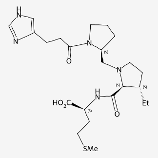 CC[C@H]1CCN(C[C@@H]2CCCN2C(=O)CCc2c[nH]cn2)[C@@H]1C(=O)N[C@@H](CCSC)C(=O)O